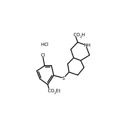 CCOC(=O)c1ccc(Cl)cc1SC1CCC2CNC(C(=O)O)CC2C1.Cl